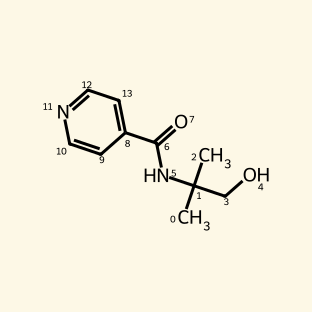 CC(C)(CO)NC(=O)c1ccncc1